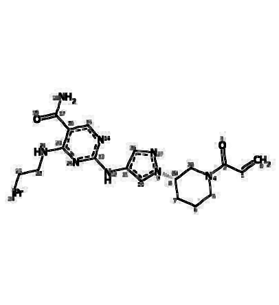 C=CC(=O)N1CCC[C@H](n2cc(Nc3ncc(C(N)=O)c(NCCC(C)C)n3)cn2)C1